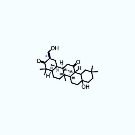 CC1(C)CCC2(O)CC[C@]3(C)[C@H](C(=O)C[C@@H]4[C@@]5(C)C/C(=C\O)C(=O)C(C)(C)[C@@H]5CC[C@]43C)C2C1